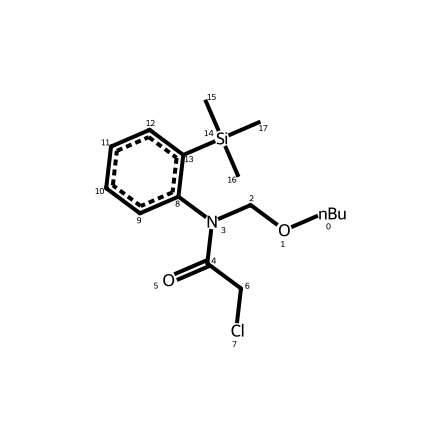 CCCCOCN(C(=O)CCl)c1ccccc1[Si](C)(C)C